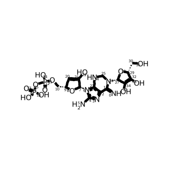 N=C1c2nc(N)n([C@@H]3O[C@H](COP(=O)(O)OP(=O)(O)O)C=C3O)c2NCN1[C@@H]1O[C@H](CO)C(O)=C1O